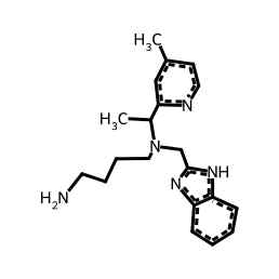 Cc1ccnc(C(C)N(CCCCN)Cc2nc3ccccc3[nH]2)c1